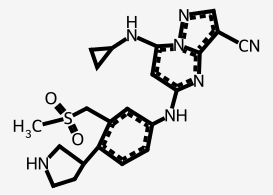 CS(=O)(=O)Cc1cc(Nc2cc(NC3CC3)n3ncc(C#N)c3n2)ccc1C1CCNC1